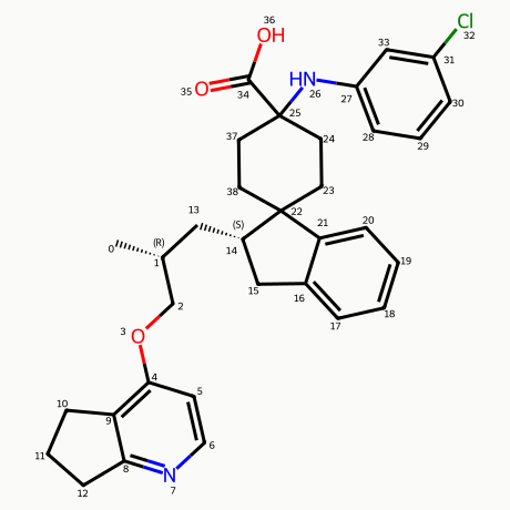 C[C@@H](COc1ccnc2c1CCC2)C[C@H]1Cc2ccccc2C12CCC(Nc1cccc(Cl)c1)(C(=O)O)CC2